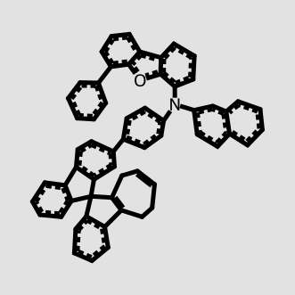 C1=CCC2=C(CC1)c1ccccc1C21c2ccccc2-c2ccc(-c3ccc(N(c4ccc5ccccc5c4)c4cccc5c4oc4c(-c6ccccc6)cccc45)cc3)cc21